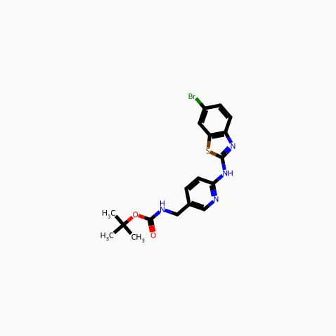 CC(C)(C)OC(=O)NCc1ccc(Nc2nc3ccc(Br)cc3s2)nc1